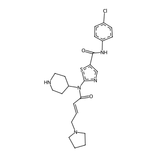 O=C(Nc1ccc(Cl)cc1)c1cnc(N(C(=O)/C=C/CN2CCCC2)C2CCNCC2)s1